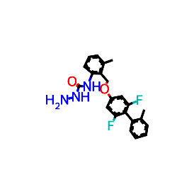 Cc1ccccc1-c1c(F)cc(OCc2c(C)cccc2NC(=O)NN)cc1F